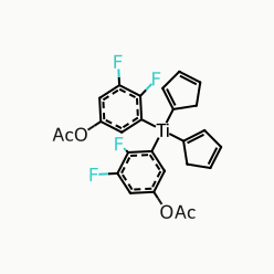 CC(=O)Oc1cc(F)c(F)[c]([Ti]([C]2=CC=CC2)([C]2=CC=CC2)[c]2cc(OC(C)=O)cc(F)c2F)c1